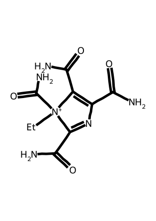 CC[N+]1(C(N)=O)C(C(N)=O)=NC(C(N)=O)=C1C(N)=O